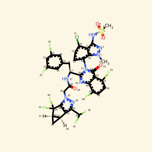 Cn1nc(NS(C)(=O)=O)c2c(Cl)ccc(-n3c([C@H](Cc4cc(F)cc(F)c4)NC(=O)Cn4nc(C(F)F)c5c4C(F)(F)[C@@H]4C[C@H]54)nc4c(F)ccc(F)c4c3=O)c21